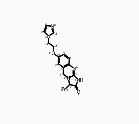 CC(C)C1C(=O)NC2=Nc3ccc(OCCn4ccnc4)cc3CN21